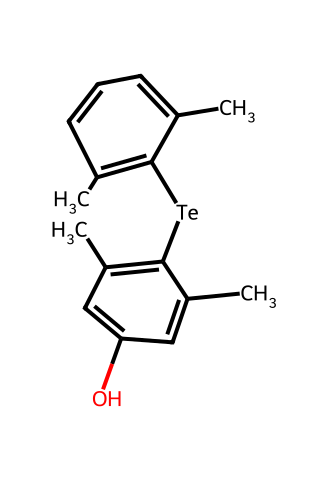 Cc1cccc(C)c1[Te]c1c(C)cc(O)cc1C